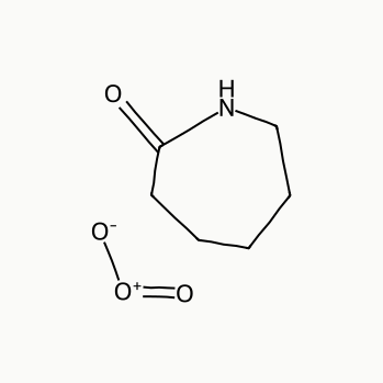 O=C1CCCCCN1.O=[O+][O-]